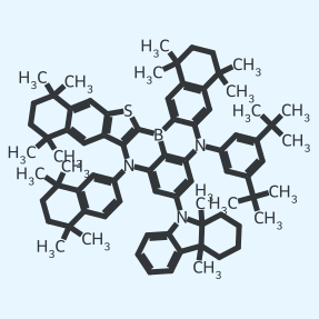 CC(C)(C)c1cc(N2c3cc4c(cc3B3c5sc6cc7c(cc6c5N(c5ccc6c(c5)C(C)(C)CCC6(C)C)c5cc(N6c8ccccc8C8(C)CCCCC68C)cc2c53)C(C)(C)CCC7(C)C)C(C)(C)CCC4(C)C)cc(C(C)(C)C)c1